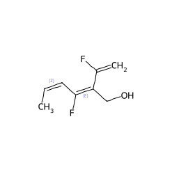 C=C(F)/C(CO)=C(F)\C=C/C